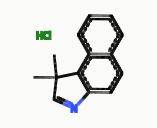 CC1(C)C=Nc2ccc3ccccc3c21.Cl